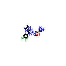 Cc1nc2nc(N3CCO[C@@H](c4cnn(C)c4)C3)nc(-c3ccc(F)c(F)c3)c2nc1C